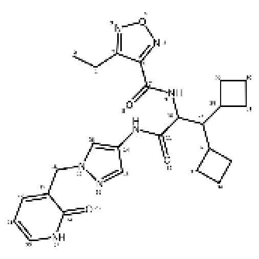 CCc1nonc1C(=O)NC(C(=O)Nc1cnn(Cc2ccc[nH]c2=O)c1)C(C1CCC1)C1CCC1